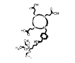 CCO[Si](CCCNCc1ccc(CN2CCCN(CCC(=O)O)CCN(CCC(=O)O)CCCN(CCC(=O)O)CC2)cc1)(OCC)OCC